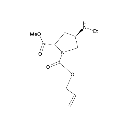 C=CCOC(=O)N1C[C@H](NCC)C[C@H]1C(=O)OC